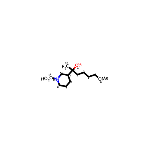 COCCCCC(O)(C1CCCN(C(=O)O)C1)C(F)(F)F